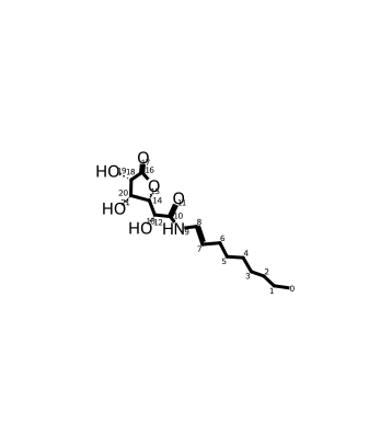 CCCCCCCC=CNC(=O)[C@H](O)[C@H]1OC(=O)[C@@H](O)[C@H]1O